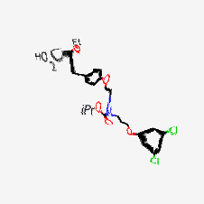 CCOC(Cc1ccc(OCCN(CCCOc2cc(Cl)cc(Cl)c2)C(=O)OC(C)C)cc1)C(=O)O